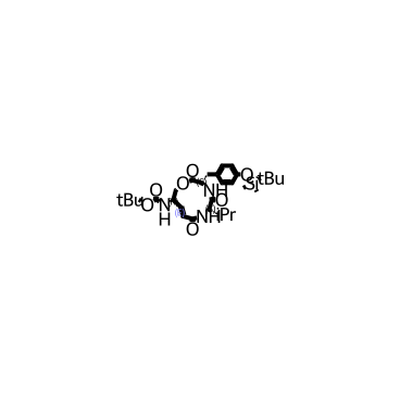 CC(C)[C@@H]1NC(=O)/C=C/[C@@H](NC(=O)OC(C)(C)C)COC(=O)[C@H](Cc2ccc(O[Si](C)(C)C(C)(C)C)cc2)NC1=O